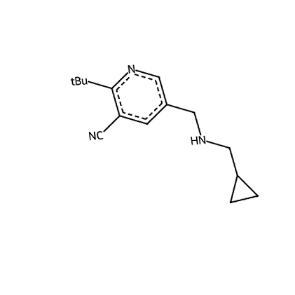 CC(C)(C)c1ncc(CNCC2CC2)cc1C#N